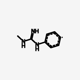 CNC(=N)Nc1cc[c]cc1